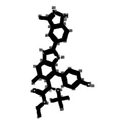 CCOC(=O)[C@@H](OC(C)(C)C)c1c(C)cc2nc(-c3ccc4[nH]nc(C)c4c3)sc2c1-c1ccc(Cl)cc1